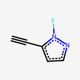 C#Cc1ccnn1F